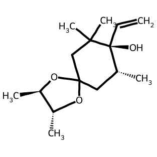 C=C[C@]1(O)[C@H](C)CC2(CC1(C)C)O[C@H](C)[C@@H](C)O2